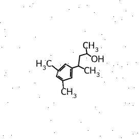 Cc1cc(C)cc(C(C)CC(C)O)c1